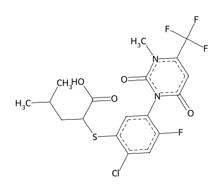 CC(C)CC(Sc1cc(-n2c(=O)cc(C(F)(F)F)n(C)c2=O)c(F)cc1Cl)C(=O)O